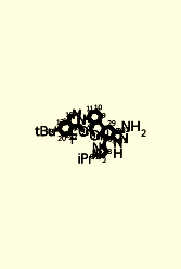 CC(C)n1ccc(-c2cc(-c3cccc(-n4ncc5cc(C(C)(C)C)cc(F)c5c4=O)c3CO)cc3c(N)n[nH]c23)n1